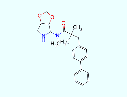 CN(C(=O)C(C)(C)Cc1ccc(-c2ccccc2)cc1)C1NCC2OCOC21